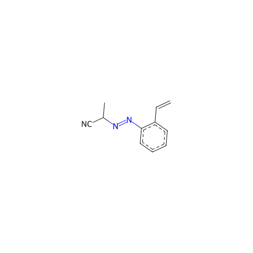 C=Cc1ccccc1/N=N/C(C)C#N